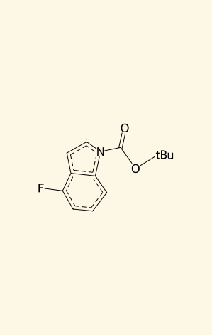 CC(C)(C)OC(=O)n1[c]cc2c(F)cccc21